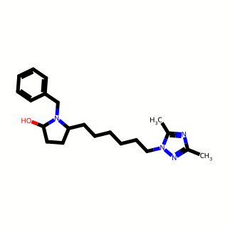 Cc1nc(C)n(CCCCCCC2CCC(O)N2Cc2ccccc2)n1